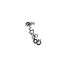 O=C(Oc1ccc2cccnc2c1)N1CCC(CSc2ncc[nH]2)CC1